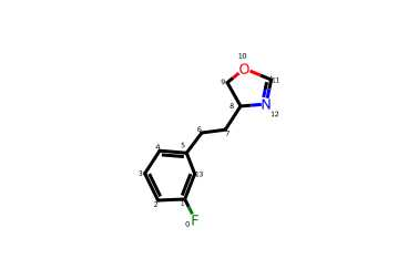 Fc1cccc(CCC2CO[C]=N2)c1